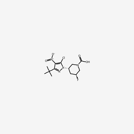 CC(C)(C)c1nn([C@H]2C[C@H](F)CN(C(=O)O)C2)c(Cl)c1[N+](=O)[O-]